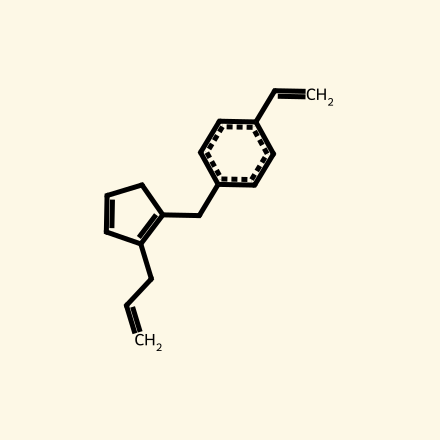 C=CCC1=C(Cc2ccc(C=C)cc2)CC=C1